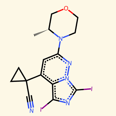 C[C@@H]1COCCN1c1cc(C2(C#N)CC2)c2c(I)nc(I)n2n1